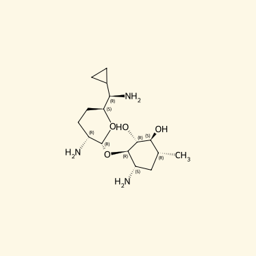 C[C@@H]1C[C@H](N)[C@@H](O[C@H]2O[C@H]([C@H](N)C3CC3)CC[C@H]2N)[C@H](O)[C@H]1O